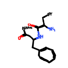 CNC(=O)C(Cc1ccccc1)NC(=O)C(N)CC(C)C